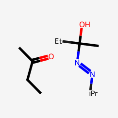 CCC(C)(O)N=NC(C)C.CCC(C)=O